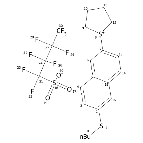 CCCCSc1ccc2cc([S+]3CCCC3)ccc2c1.O=S(=O)([O-])C(F)(F)C(F)(F)C(F)(F)C(F)(F)F